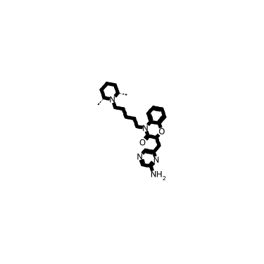 C[C@@H]1CCC[C@H](C)N1CCCCCN1C(=O)C(Cc2cncc(N)n2)Oc2ccccc21